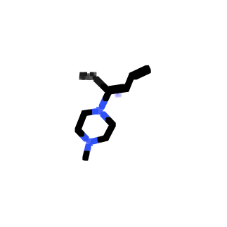 C=C/C=C(\NC)N1CCN(C)CC1